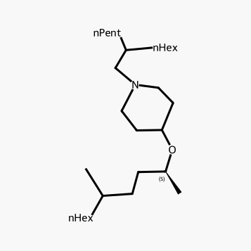 CCCCCCC(C)CC[C@H](C)OC1CCN(CC(CCCCC)CCCCCC)CC1